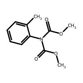 COC(=O)N(C(=O)OC)c1ccccc1C